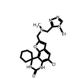 CCn1cnnc1CN(C)Cc1cc2cc(Cl)c3c(c2o1)C1(CCCCC1)NC(=O)N3